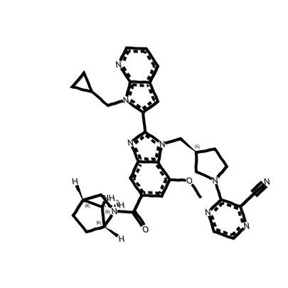 COc1cc(C(=O)N2C[C@H]3CC[C@@H]2[C@@H]3N)cc2nc(-c3cc4cccnc4n3CC3CC3)n(C[C@H]3CCN(c4nccnc4C#N)C3)c12